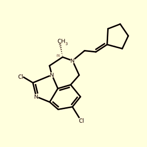 C[C@H]1Cn2c(Cl)nc3cc(Cl)cc(c32)CN1CC=C1CCCC1